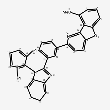 COc1cccc2oc3ccc(-c4cccc(-c5nc6c(n5-c5c(C(C)C)cccc5C(C)C)=CCCC=6)c4)nc3c12